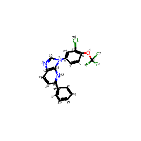 FC(F)(F)Oc1ccc(-n2cnc3ccc(-c4ccccc4)nc32)cc1Cl